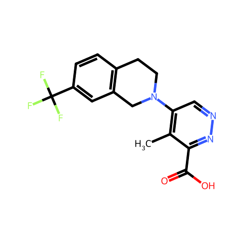 Cc1c(N2CCc3ccc(C(F)(F)F)cc3C2)cnnc1C(=O)O